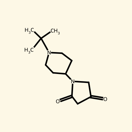 CC(C)(C)N1CCC(N2CC(=O)CC2=O)CC1